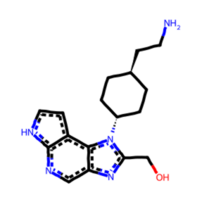 NCC[C@H]1CC[C@H](n2c(CO)nc3cnc4[nH]ccc4c32)CC1